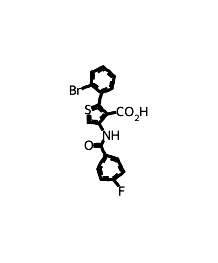 O=C(Nc1csc(-c2ccccc2Br)c1C(=O)O)c1ccc(F)cc1